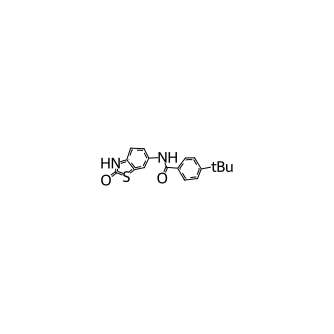 CC(C)(C)c1ccc(C(=O)Nc2ccc3[nH]c(=O)sc3c2)cc1